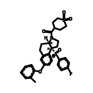 Cc1ccccc1Oc1ccc2c(c1)CC[C@H]1N(C(=O)C3CCS(=O)(=O)CC3)CC[C@@]21S(=O)(=O)c1ccc(F)cc1